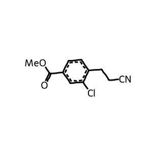 COC(=O)c1ccc(CCC#N)c(Cl)c1